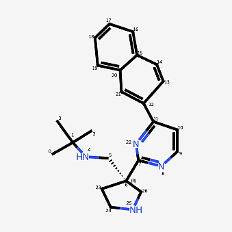 CC(C)(C)NC[C@@]1(c2nccc(-c3ccc4ccccc4c3)n2)CCNC1